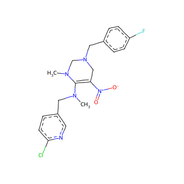 CN(Cc1ccc(Cl)nc1)C1=C([N+](=O)[O-])CN(Cc2ccc(F)cc2)CN1C